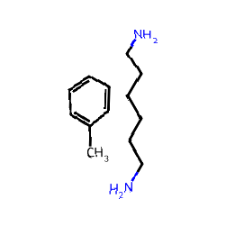 Cc1ccccc1.NCCCCCCN